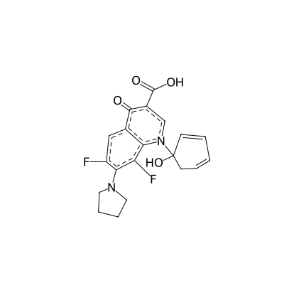 O=C(O)c1cn(C2(O)C=CC=CC2)c2c(F)c(N3CCCC3)c(F)cc2c1=O